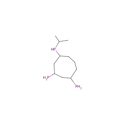 CC(C)PC1CCCC(P)CC(P)C1